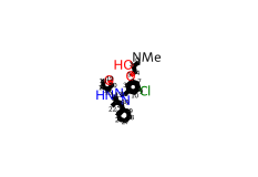 CNCC(O)COc1cc(Cl)cc(-c2nc(N[C@@H]3CCOC3)c(C)c(C3=CCCCC3)n2)c1